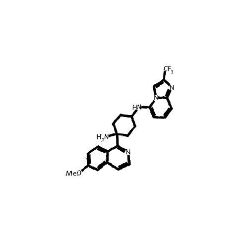 COc1ccc2c(C3(N)CCC(Nc4cccc5nc(C(F)(F)F)cn45)CC3)nccc2c1